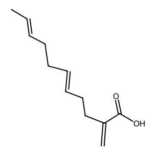 C=C(CC/C=C/CC/C=C/C)C(=O)O